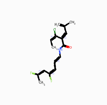 C=C(C)/C=C(C(=O)N/C=C/C=C(F)\C=C(/C)F)\C(Cl)=C/C